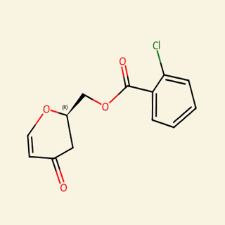 O=C1C=CO[C@@H](COC(=O)c2ccccc2Cl)C1